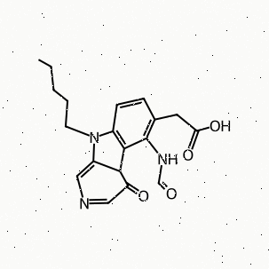 CCCCCN1C2=CN=CC(=O)C2c2c1ccc(CC(=O)O)c2NC=O